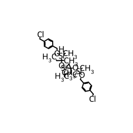 CCC(C)(O[Si]1(C)CC1(CC)O[Si](C)(C)OCc1ccc(CCl)cc1)[SiH](C)OCc1ccc(CCl)cc1